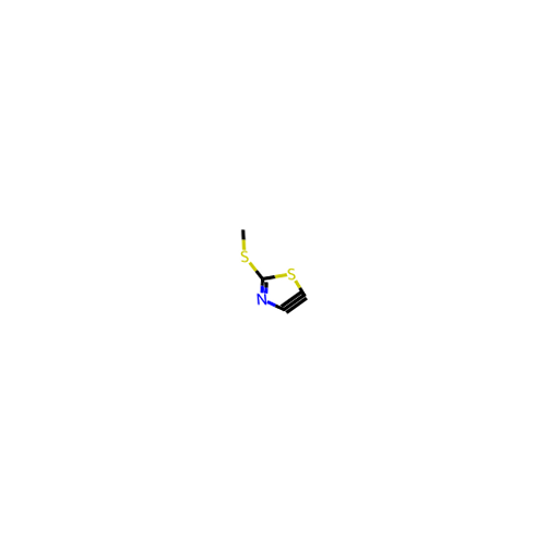 CSc1nc#cs1